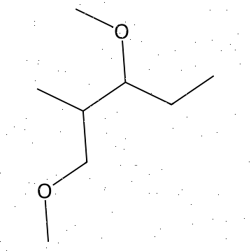 CCC(OC)C(C)COC